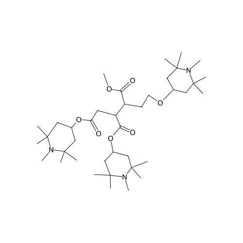 COC(=O)C(CCOC1CC(C)(C)N(C)C(C)(C)C1)C(CC(=O)OC1CC(C)(C)N(C)C(C)(C)C1)C(=O)OC1CC(C)(C)N(C)C(C)(C)C1